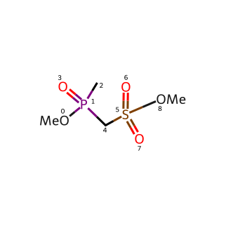 COP(C)(=O)CS(=O)(=O)OC